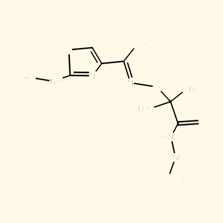 CC(C)(O/N=C(\C(=O)O)c1csc(NC=O)n1)C(=O)NNC=O